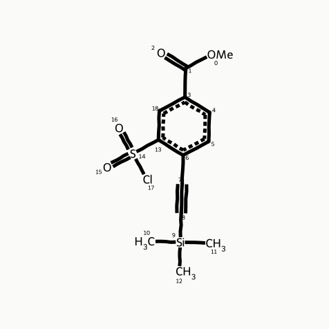 COC(=O)c1ccc(C#C[Si](C)(C)C)c(S(=O)(=O)Cl)c1